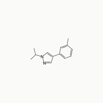 Cc1cccc(-c2cnn(C(C)C)c2)c1